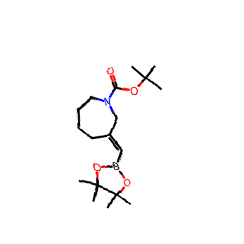 CC(C)(C)OC(=O)N1CCCCC(=CB2OC(C)(C)C(C)(C)O2)C1